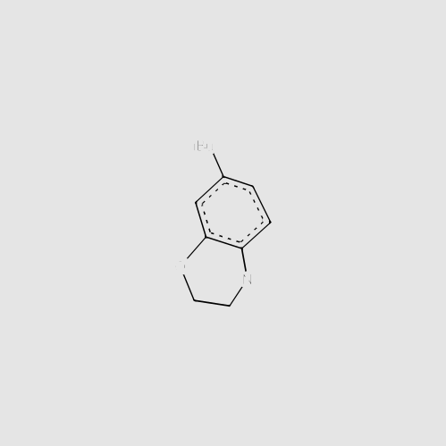 CCC(C)c1ccc2c(c1)OCCN2